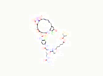 COc1cc2cc(c1Cl)N(C)C(=O)C[C@H](OC(=O)Nc1ccc(NC(=O)[C@H](CCCNC(N)=O)NC(=O)[C@@H](NC(=O)CCCCC(C)(C)OC(=O)C(CBr)CBr)C(C)C)cc1Cl)[C@]1(C)O[C@H]1[C@H](C)[C@@H]1C[C@@](O)(NC(=O)O1)[C@H](OC)/C=C/C=C(\C)C2